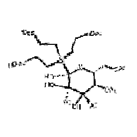 CCCCCCCCCCCC[Si](CCCCCCCCCCCC)(CCCCCCCCCCCC)[C@@]1(O)O[C@H](COC(C)=O)[C@@H](OC(C)=O)[C@@](O)(C(C)=O)[C@]1(O)C(C)=O